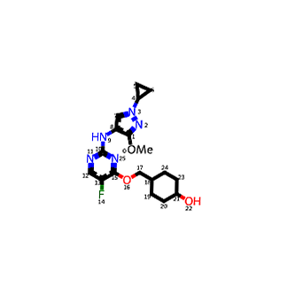 COc1nn(C2CC2)cc1Nc1ncc(F)c(OCC2CCC(O)CC2)n1